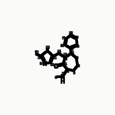 CNC1CCCC(c2ccccc2)N(Cc2cnc(C)s2)C1=O